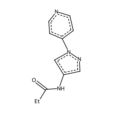 CCC(=O)Nc1cnn(-c2ccncc2)c1